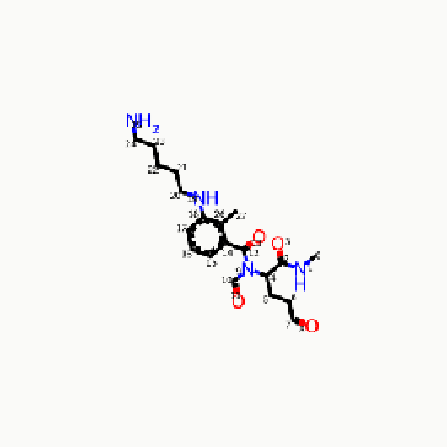 CNC(=O)C(CCC=O)N(C=O)C(=O)c1cccc(NCCCCCN)c1C